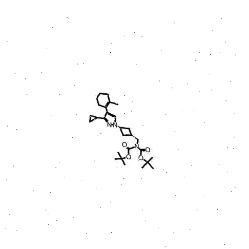 CC1=C(c2cn([C@H]3C[C@H](CN(C(=O)OC(C)(C)C)C(=O)OC(C)(C)C)C3)nc2C2CC2)CCCC1